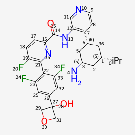 CC(C)[C@@H]1C[C@H](N)C[C@H](c2ccncc2NC(=O)c2ccc(F)c(-c3c(F)cc(C4(O)COC4)cc3F)n2)C1